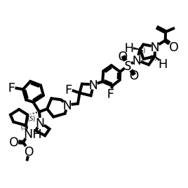 C=C(C)C(=O)N1C[C@@H]2C[C@H]1CN2S(=O)(=O)c1ccc(N2CC(F)(CN3CCC(C(c4cccc(F)c4)([C@H]4CCC[C@@H]4NC(=O)OC)N4CCC4)CC3)C2)c(F)c1